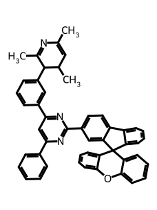 CC1=CC(C)C(c2cccc(-c3cc(-c4ccccc4)nc(-c4ccc5c(c4)C4(c6ccccc6Oc6ccccc64)c4ccccc4-5)n3)c2)C(C)=N1